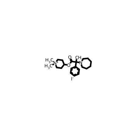 CC(C(=O)OC1CC[N+](C)(C)CC1)(c1ccccc1)N1CCCCCC1.[I-]